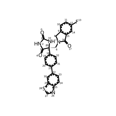 O=C1NC(=O)[C@](CN2Cc3ccc(F)cc3C2=O)(c2ccc(-c3ccc4ncsc4c3)cc2)N1